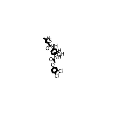 Cc1cc(C(=O)NC23CCC(NC(=O)COc4ccc(Cl)c(Cl)c4)(CC2)[C@@H](O)C3)sn1